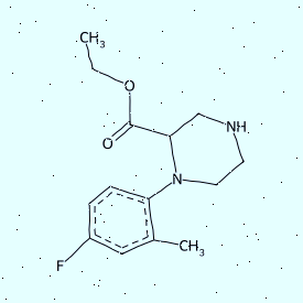 CCOC(=O)C1CNCCN1c1ccc(F)cc1C